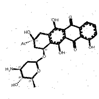 CC(=O)[C@]1(O)Cc2c(O)c3c(c(O)c2[C@@H](OC2C[C@H](N)[C@@H](O)[C@H](C)O2)C1)C(=O)c1c(O)cccc1C3=O